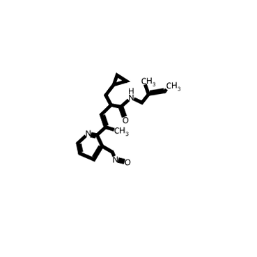 C/C=C(\C)CNC(=O)C(/C=C(\C)c1ncccc1CN=O)CC1CC1